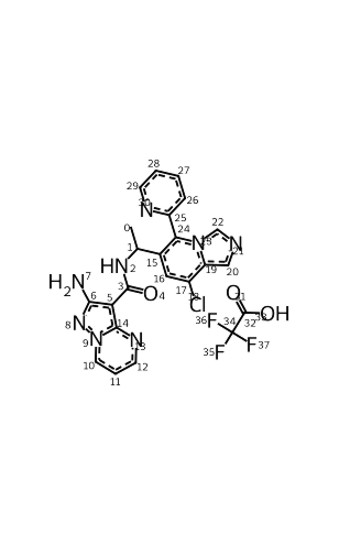 CC(NC(=O)c1c(N)nn2cccnc12)c1cc(Cl)c2cncn2c1-c1ccccn1.O=C(O)C(F)(F)F